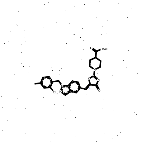 COC(=O)C1CCN(C2=NC(=O)/C(=C/c3ccc4c(cnn4Cc4ccc(C)cc4C(F)(F)F)c3)S2)CC1